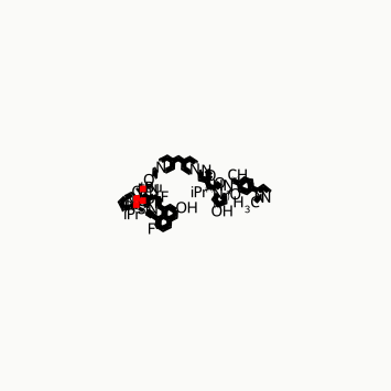 CC(C)[C@@H](C(=O)N1C[C@H](O)C[C@H]1C(=O)N[C@@H](C)c1ccc(-c2ccnn2C)cc1)c1cc(N2CCC(CC3CCN(CCOc4nc(N5CC6CCC(C5)N6C(=O)OC(C)(C)C)c5cnc(-c6cc(O)cc7ccc(F)c(C#C[Si](C(C)C)(C(C)C)C(C)C)c67)c(F)c5n4)CC3)CC2)no1